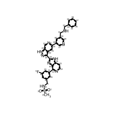 CS(=O)(=O)NCc1cc(F)cc(-c2nccc3[nH]c(-c4n[nH]c5cnc(-c6cncc(CNCc7ccccc7)c6)cc45)nc23)c1